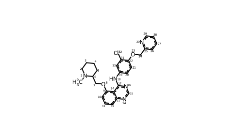 CN1CCCCC1COc1cccc2ncnc(Nc3ccc(OCc4ccccn4)c(Cl)c3)c12